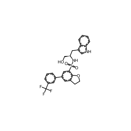 O=S(=O)(N[C@@H](CO)Cc1c[nH]c2ccccc12)c1cc(-c2cccc(C(F)(F)F)c2)cc2c1OCC2